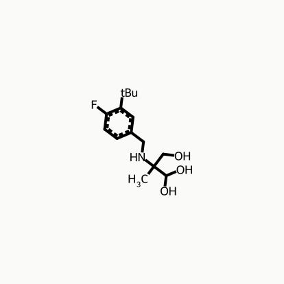 CC(C)(C)c1cc(CNC(C)(CO)C(O)O)ccc1F